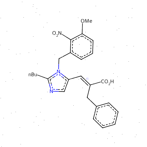 CCCCc1ncc(/C=C(\Cc2ccccc2)C(=O)O)n1Cc1cccc(OC)c1[N+](=O)[O-]